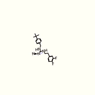 CC(C)(C)c1ccc(CN/C(=N\C#N)NCCc2ccc(F)c(F)c2)cc1